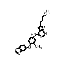 COCCCc1cc2c(Nc3ccc(Oc4ccc5scnc5c4)c(C)c3)ncnc2s1